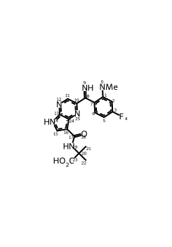 CNc1cc(F)ccc1C(=N)c1cnc2[nH]cc(C(=O)NC(C)(C)C(=O)O)c2n1